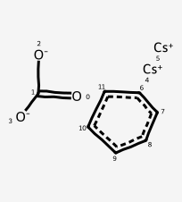 O=C([O-])[O-].[Cs+].[Cs+].c1ccccc1